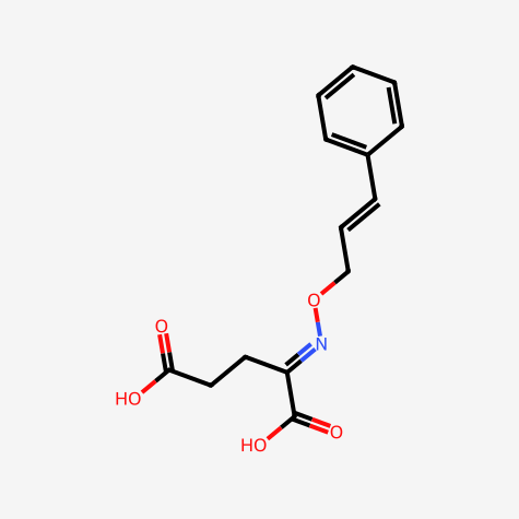 O=C(O)CC/C(=N\OC/C=C/c1ccccc1)C(=O)O